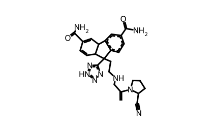 C=C(CNCCC1(c2nn[nH]n2)c2ccc(C(N)=O)cc2C2C=C(C(N)=O)C=CC21)N1CCCC1C#N